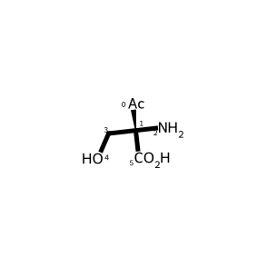 CC(=O)[C@](N)(CO)C(=O)O